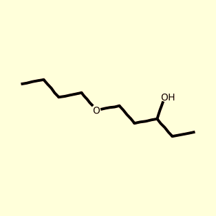 CCCCOCCC(O)CC